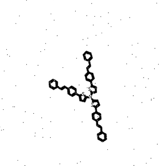 C1=C(c2ccc(/C=C/c3ccccc3)cc2)SC(N(c2ccc(-c3ccc(/C=C/c4ccccc4)cc3)s2)c2ccc(-c3ccc(/C=C/c4ccccc4)cc3)s2)C1